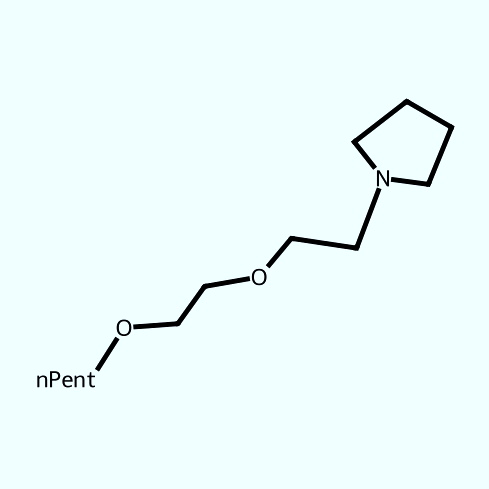 CCCCCOCCOCCN1CCCC1